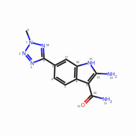 Cn1nnc(-c2ccc3c(C(N)=O)c(N)[nH]c3c2)n1